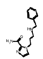 NC(=O)c1n[c]cn1CCCNCc1ccccc1